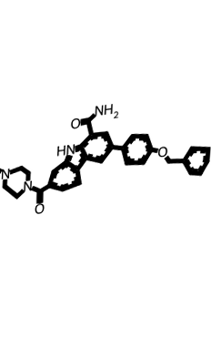 CN1CCN(C(=O)c2ccc3c(c2)[nH]c2c(C(N)=O)cc(-c4ccc(OCc5ccccc5)cc4)cc23)CC1